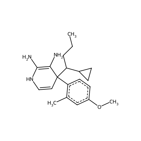 CCCC(C1CC1)C1(c2ccc(OC)cc2C)C=CNC(N)=C1N